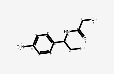 O=C(CO)NC(CF)c1ccc([N+](=O)[O-])cc1